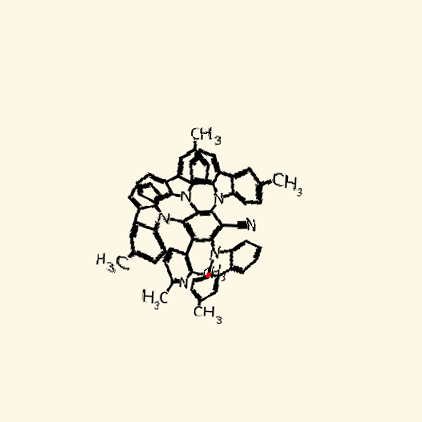 Cc1ccc2c(c1)c1ccccc1n2-c1c(C#N)c(-n2c3ccccc3c3cc(C)ccc32)c(-n2c3ccccc3c3cc(C)ccc32)c(-n2c3ccccc3c3cc(C)ccc32)c1-c1ccc(C)nc1C